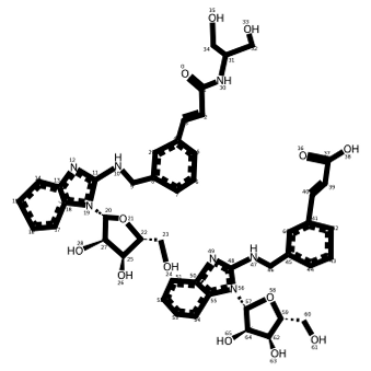 O=C(/C=C/c1cccc(CNc2nc3ccccc3n2[C@@H]2O[C@H](CO)[C@@H](O)[C@H]2O)c1)NC(CO)CO.O=C(O)/C=C/c1cccc(CNc2nc3ccccc3n2[C@@H]2O[C@H](CO)[C@@H](O)[C@H]2O)c1